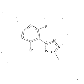 Cc1nnc(-c2c(F)cccc2Br)o1